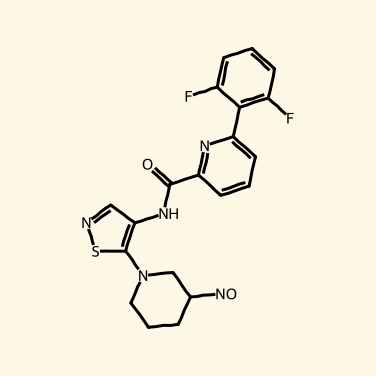 O=NC1CCCN(c2sncc2NC(=O)c2cccc(-c3c(F)cccc3F)n2)C1